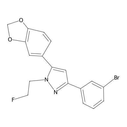 FCCn1nc(-c2cccc(Br)c2)cc1-c1ccc2c(c1)OCO2